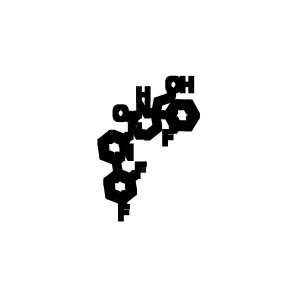 O=C1NC(CCO)(c2ccccc2F)CCN1c1cccc(-c2ccc(F)cc2F)n1